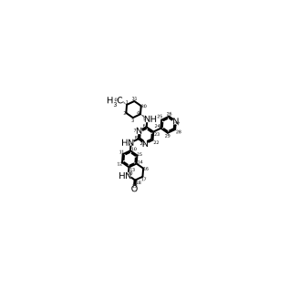 C[C@H]1CC[C@@H](Nc2nc(Nc3ccc4c(c3)CCC(=O)N4)ncc2-c2ccncc2)CC1